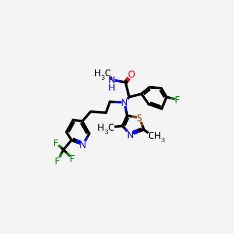 CNC(=O)C(c1ccc(F)cc1)N(CCCc1ccc(C(F)(F)F)nc1)c1sc(C)nc1C